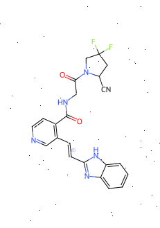 N#CC1CC(F)(F)CN1C(=O)CNC(=O)c1ccncc1/C=C/c1nc2ccccc2[nH]1